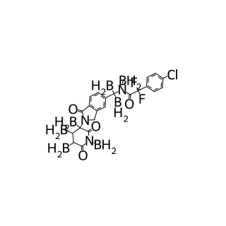 BC1C(=O)N(B)C(=O)C(B)(N2Cc3cc(C(B)(B)N(B)C(=O)C(F)(F)c4ccc(Cl)cc4)ccc3C2=O)C1B